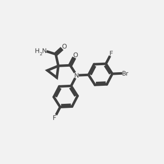 NC(=O)C1(C(=O)N(c2ccc(F)cc2)c2ccc(Br)c(F)c2)CC1